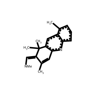 CN/C=C1\C(C)=Cc2nc3cccc(C)c3cc2C1(C)C